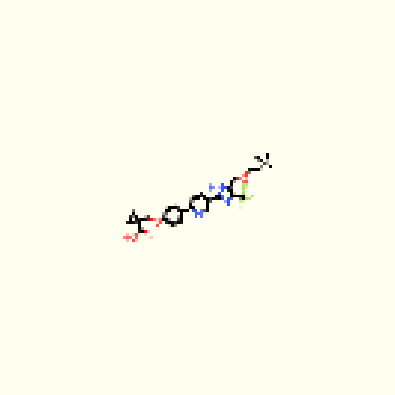 C[Si](C)(C)CCOCc1[nH]c(-c2ccc(-c3ccc(OCC4(C(=O)O)CC4)cc3)nc2)nc1C(F)(F)F